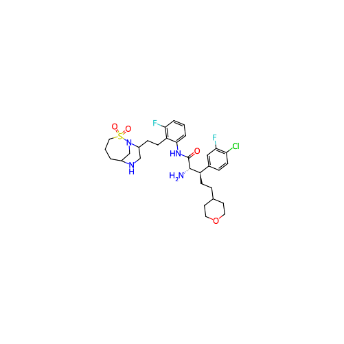 N[C@H](C(=O)Nc1cccc(F)c1CCC1CNC2CCCS(=O)(=O)N1C2)[C@H](CCC1CCOCC1)c1ccc(Cl)c(F)c1